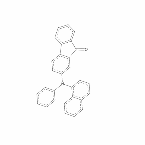 O=C1c2ccccc2-c2ccc(N(c3ccccc3)c3cccc4ccccc34)cc21